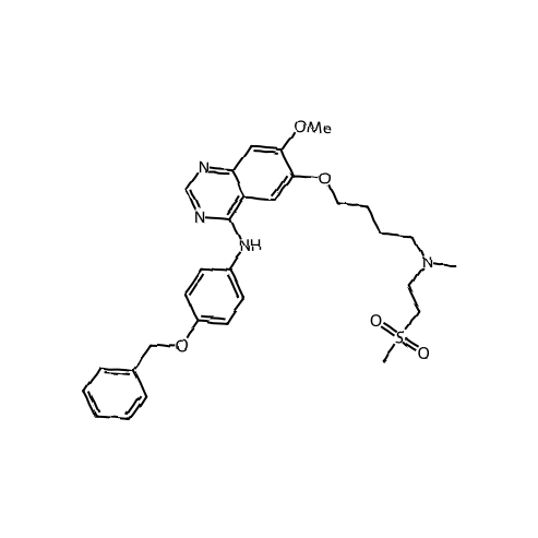 COc1cc2ncnc(Nc3ccc(OCc4ccccc4)cc3)c2cc1OCCCCN(C)CCS(C)(=O)=O